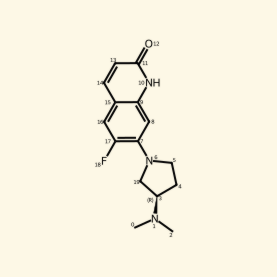 CN(C)[C@@H]1CCN(c2cc3[nH]c(=O)ccc3cc2F)C1